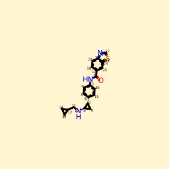 O=C(Nc1ccc([C@@H]2C[C@H]2NCC2CC2)cc1)c1ccc2ncsc2c1